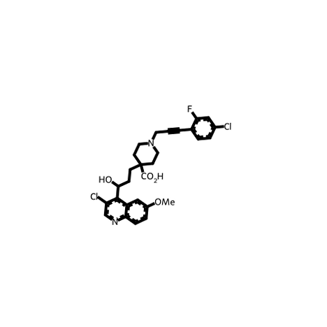 COc1ccc2ncc(Cl)c(C(O)CCC3(C(=O)O)CCN(CC#Cc4ccc(Cl)cc4F)CC3)c2c1